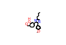 CCCCc1cnc(-c2ccc(OC)cc2)c(C2=CCCC(C=O)C(O)=C2)n1